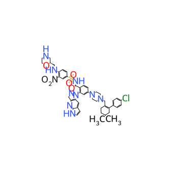 CC1(C)CCC(CN2CCN(c3ccc(C(=O)NS(=O)(=O)c4ccc(NC[C@@H]5CNCCO5)c([N+](=O)[O-])c4)c(-n4ncc5nc6[nH]ccc6cc54)c3)CC2)=C(c2ccc(Cl)cc2)C1